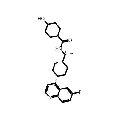 C[C@@H](NC(=O)C1CCC(O)CC1)[C@H]1CC[C@@H](c2ccnc3ccc(F)cc32)CC1